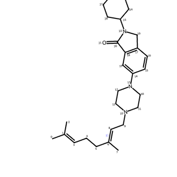 CC(C)=CCC/C(C)=C/CN1CCN(c2ccc3c(c2)C(=O)N(C2CCCCC2)C3)CC1